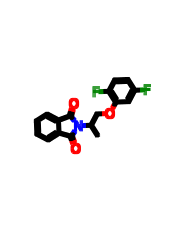 CC(COc1cc(F)ccc1F)N1C(=O)c2ccccc2C1=O